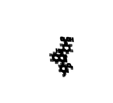 COc1nc(C)ccc1-c1nnc(N[C@@H]2CCCN(C(=O)O)C2)c2ccccc12